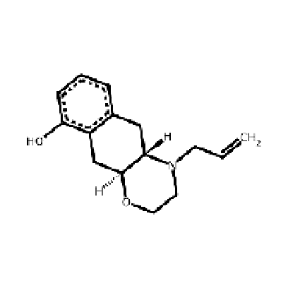 C=CCN1CCO[C@H]2Cc3c(O)cccc3C[C@@H]21